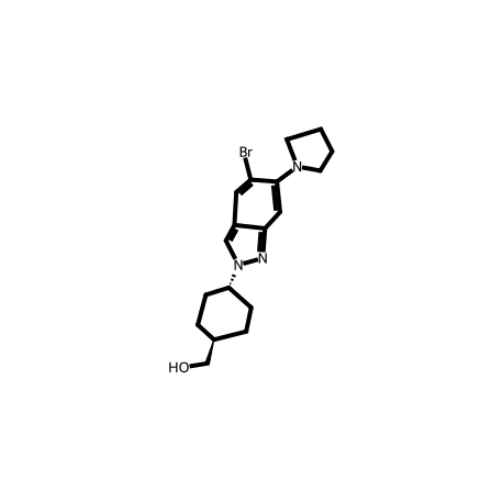 OC[C@H]1CC[C@H](n2cc3cc(Br)c(N4CCCC4)cc3n2)CC1